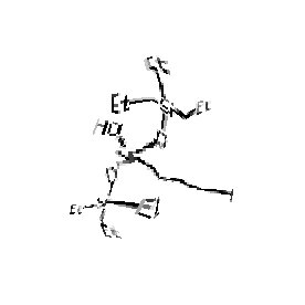 CC[Si](CC)(CC)O[Si](O)(CCCI)O[Si](CC)(CC)CC